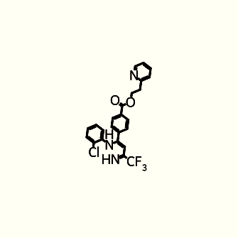 N=C(/C=C(\Nc1ccccc1Cl)c1ccc(C(=O)OCCc2ccccn2)cc1)C(F)(F)F